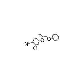 CCC(COc1ccccc1)Oc1ccc(C#N)c(Cl)c1